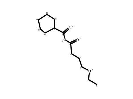 CCOCCCC(=O)OC(=O)C1CCCCC1